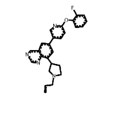 C=CCN1CCC(c2cc(-c3ccc(Oc4ccccc4F)nc3)cc3cncnc23)C1